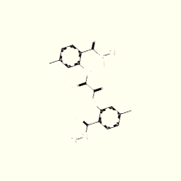 Cc1ccc(C(=O)NN)c(OC(=O)C(=O)Oc2cc(C)ccc2C(=O)NN)c1